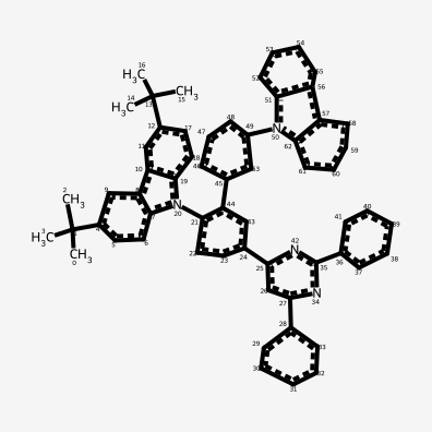 CC(C)(C)c1ccc2c(c1)c1cc(C(C)(C)C)ccc1n2-c1ccc(-c2cc(-c3ccccc3)nc(-c3ccccc3)n2)cc1-c1cccc(-n2c3ccccc3c3ccccc32)c1